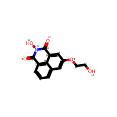 O=C1c2cccc3cc(OCCO)cc(c23)C(=O)N1O